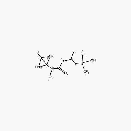 CC(CC(O)(C(F)(F)F)C(F)(F)F)OC(=O)C(C(C)C)C12NC1(C)N2